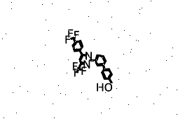 OCc1ccc(-c2cccc(-c3nc(-c4ccc(C(F)(F)F)cc4)cc(C(F)(F)F)n3)c2)cc1